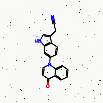 N#CCc1c[nH]c2cc(-n3ccc(=O)c4ccccc43)ccc12